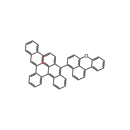 c1ccc2c(c1)Oc1ccc(-c3c4ccccc4c(-c4ccccc4-c4ccc5ccccc5c4)c4ccccc34)c3cccc-2c13